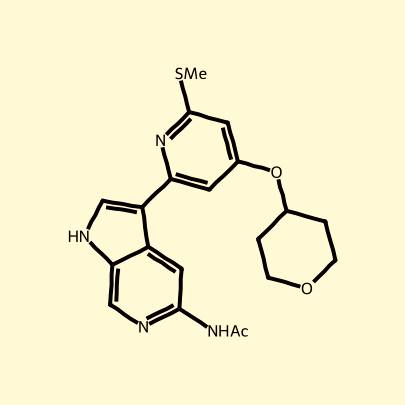 CSc1cc(OC2CCOCC2)cc(-c2c[nH]c3cnc(NC(C)=O)cc23)n1